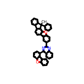 CC1(c2ccccc2)c2ccccc2-c2ccc3c(oc4ccc(-c5nc(-c6cccc7oc8ccccc8c67)c6ccccc6n5)cc43)c21